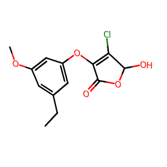 CCc1cc(OC)cc(OC2=C(Cl)C(O)OC2=O)c1